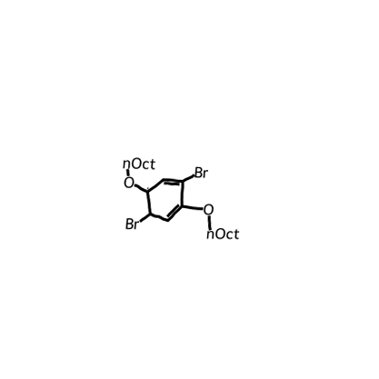 CCCCCCCCO[C]1C=C(Br)C(OCCCCCCCC)=CC1Br